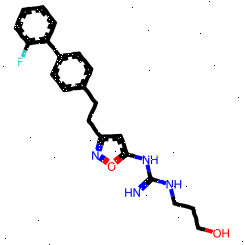 N=C(NCCCO)Nc1cc(CCc2ccc(-c3ccccc3F)cc2)no1